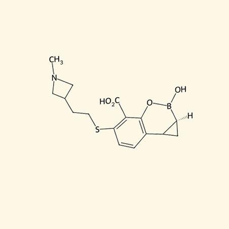 CN1CC(CCSc2ccc3c(c2C(=O)O)OB(O)[C@H]2CC32)C1